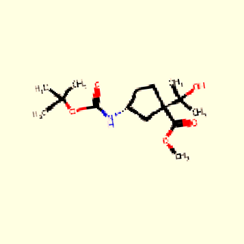 COC(=O)[C@@]1(C(C)(C)O)CC[C@@H](NC(=O)OC(C)(C)C)C1